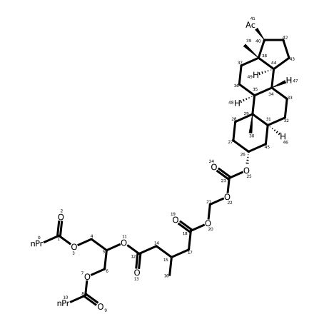 CCCC(=O)OCC(COC(=O)CCC)OC(=O)CC(C)CC(=O)OCOC(=O)O[C@@H]1CC[C@@]2(C)[C@@H](CC[C@@H]3[C@@H]2CC[C@]2(C)[C@@H](C(C)=O)CC[C@@H]32)C1